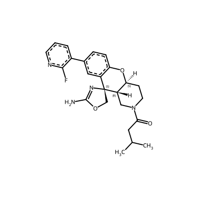 CC(C)CC(=O)N1CC[C@@H]2Oc3ccc(-c4cccnc4F)cc3[C@]3(COC(N)=N3)[C@H]2C1